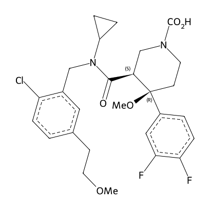 COCCc1ccc(Cl)c(CN(C(=O)[C@H]2CN(C(=O)O)CC[C@]2(OC)c2ccc(F)c(F)c2)C2CC2)c1